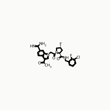 CC(=O)c1cn(CC(=O)N2C[C@H](F)C[C@H]2C(=O)NCc2cccc(Cl)c2F)c2cc(C(=N)N)ccc12